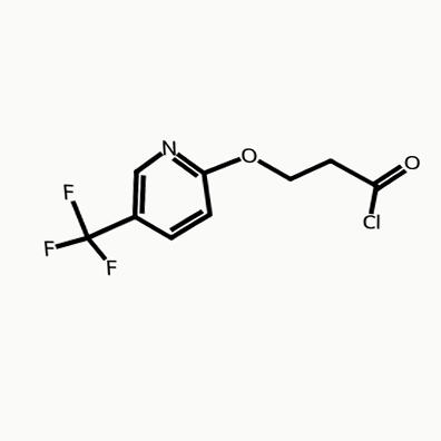 O=C(Cl)CCOc1ccc(C(F)(F)F)cn1